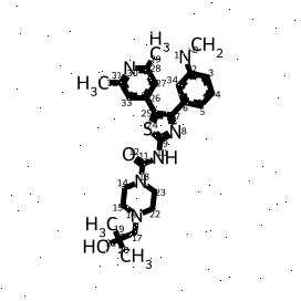 C=Nc1cccc(-c2nc(NC(=O)N3CCN(CC(C)(C)O)CC3)sc2-c2cc(C)nc(C)c2)c1